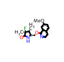 COc1ccc2ccnc(OC[C@H]3NC(=O)[C@@](C)(F)[C@H]3C)c2c1